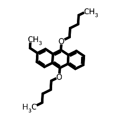 CCCCCOc1c2ccccc2c(OCCCCC)c2cc(CC)ccc12